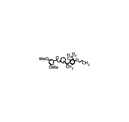 C=CCOc1ccc([C@@H](C)N2CCC[C@@H](CC(=O)C3C=C(OC)C=C(OC)C3)C2)c(C)c1C